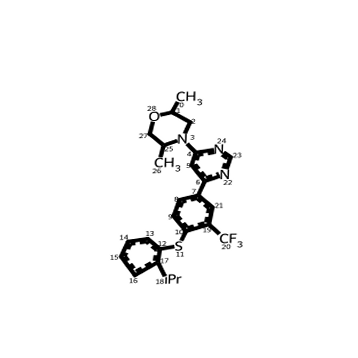 CC1CN(c2cc(-c3ccc(Sc4ccccc4C(C)C)c(C(F)(F)F)c3)ncn2)C(C)CO1